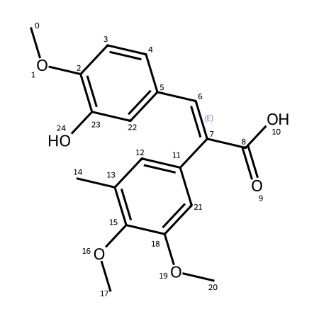 COc1ccc(/C=C(/C(=O)O)c2cc(C)c(OC)c(OC)c2)cc1O